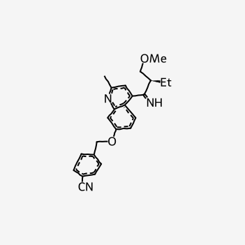 CC[C@H](COC)C(=N)c1cc(C)nc2cc(OCc3ccc(C#N)cc3)ccc12